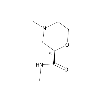 CNC(=O)[C@H]1CN(C)CCO1